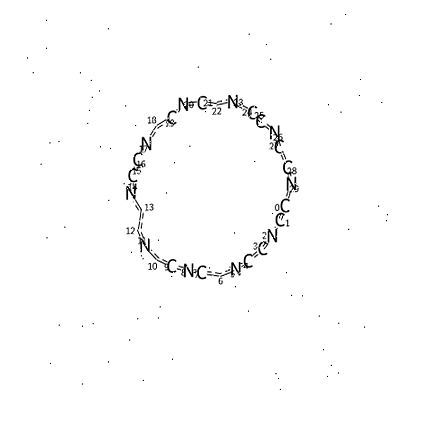 c1cnccnccnccnccnccnccnccnccnccn1